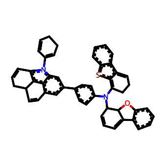 C1=CC(N(C2=c3sc4ccccc4c3=CCC2)c2ccc(-c3cc4c5c6c(n(C7=CCCC=C7)c5c3)C=CCC6C=C4)cc2)C2Oc3ccccc3C2=C1